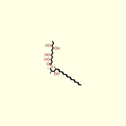 C/C=C/C=C/C=C/C=C/C=C/C=C/[C@H](C)[C@@H](O)[C@@H](C)[C@H](C)OC(=O)C[C@H](O)C[C@H](O)CC[C@@H](O)[C@H](O)CC